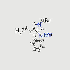 C=CCC1CN(C(C)(C)C)CC1(Cc1ccccc1)N=[N+]=[N-]